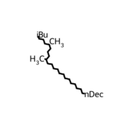 CCCCCCCCCCCCCCCCCCCCCCCC(C)CCCC(C)CCCC(C)CC